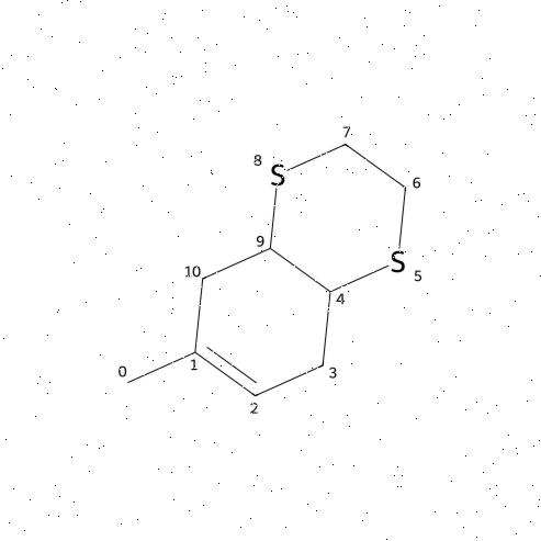 CC1=CCC2SCCSC2C1